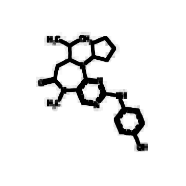 CC(C)C1CC(=O)N(C)c2cnc(Nc3ccc(O)cc3)nc2N1C1CCCC1